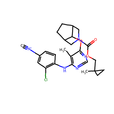 [C-]#[N+]c1ccc(Nc2ncnc(OC3C4CCC3CN(C(=O)OCC3(C)CC3)C4)c2C)c(Cl)c1